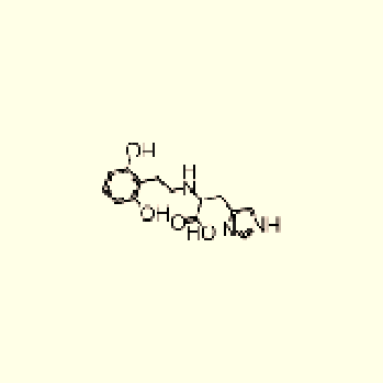 O=C(O)[C@H](Cc1c[nH]cn1)NCCc1c(O)cccc1O